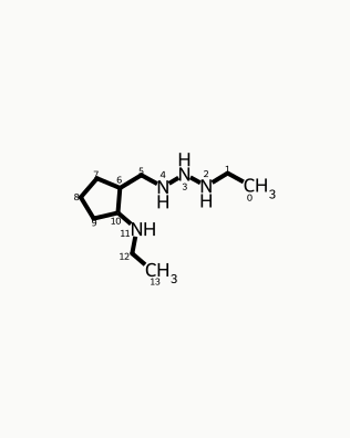 CCNNNCC1CCCC1NCC